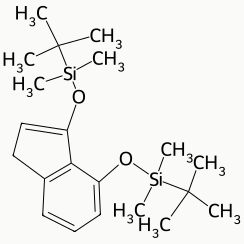 CC(C)(C)[Si](C)(C)OC1=CCc2cccc(O[Si](C)(C)C(C)(C)C)c21